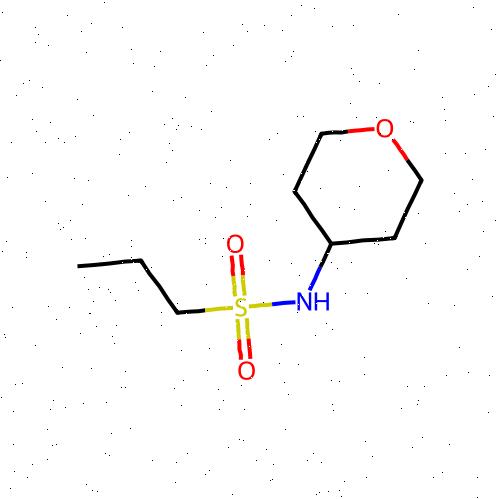 CCCS(=O)(=O)NC1CCOCC1